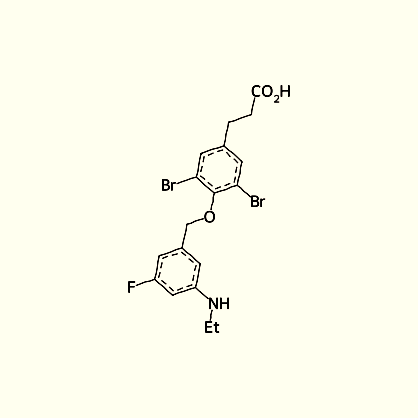 CCNc1cc(F)cc(COc2c(Br)cc(CCC(=O)O)cc2Br)c1